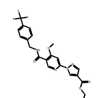 CCOC(=O)c1cnn(-c2cc(OC)c(C(=O)NCc3ccc(C(F)(F)F)cc3)cn2)c1